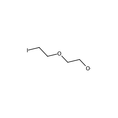 [O]CCOCCI